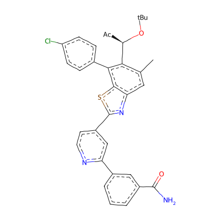 CC(=O)[C@@H](OC(C)(C)C)c1c(C)cc2nc(-c3ccnc(-c4cccc(C(N)=O)c4)c3)sc2c1-c1ccc(Cl)cc1